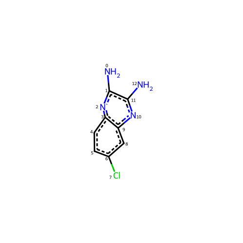 Nc1nc2ccc(Cl)cc2nc1N